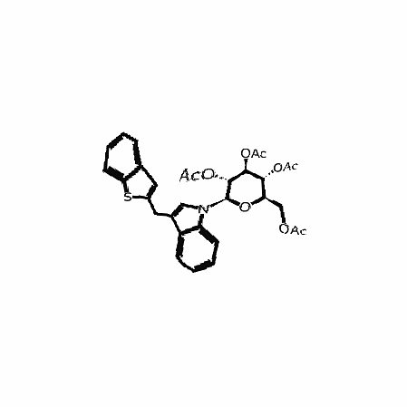 CC(=O)OC[C@H]1O[C@@H](n2cc(Cc3cc4ccccc4s3)c3ccccc32)[C@H](OC(C)=O)[C@@H](OC(C)=O)[C@@H]1OC(C)=O